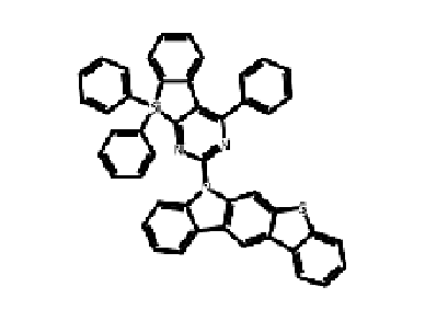 c1ccc(-c2nc(-n3c4ccccc4c4cc5c(cc43)sc3ccccc35)nc3c2-c2ccccc2[Si]3(c2ccccc2)c2ccccc2)cc1